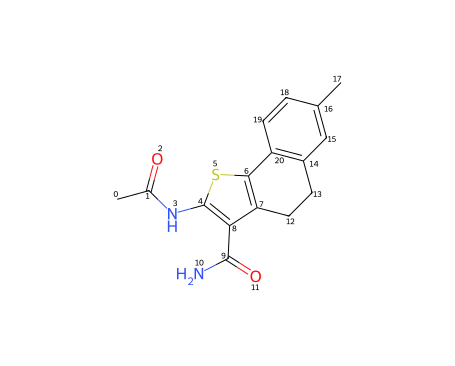 CC(=O)Nc1sc2c(c1C(N)=O)CCc1cc(C)ccc1-2